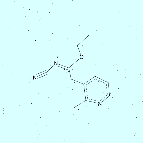 CCO/C(Cc1cccnc1C)=N/C#N